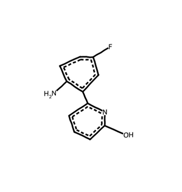 Nc1ccc(F)cc1-c1cccc(O)n1